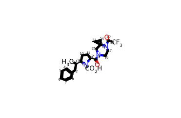 CC(Cc1ccccc1)[C@H]1CC[C@@H](C(=O)N2CCN(C(=O)C(F)(F)F)C3(CC3)C2)N1C(=O)O